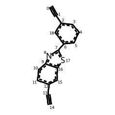 C#Cc1cccc(-c2nc3ccc(C#C)cc3s2)c1